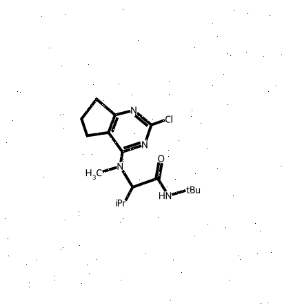 CC(C)C(C(=O)NC(C)(C)C)N(C)c1nc(Cl)nc2c1CCC2